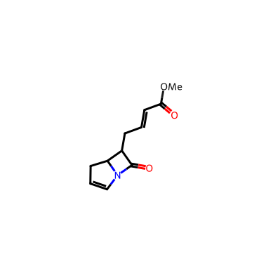 COC(=O)C=CCC1C(=O)N2C=CCC12